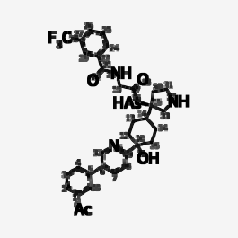 CC(=O)c1cccc(-c2ccc(C3(O)CCC([C@]4([AsH]C(=O)CNC(=O)c5cccc(C(F)(F)F)c5)CCNC4)CC3)nc2)c1